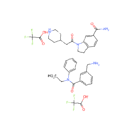 NC(=O)c1ccc2c(c1)N(C(=O)CC1CCNCC1)CC2.NCc1cccc(C(=O)N(CC(=O)O)c2ccccc2)c1.O=C(O)C(F)(F)F.O=C(O)C(F)(F)F